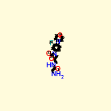 NCC(=O)NCC1CN(c2ccc(N3CCOCC3)c(F)c2)C(=O)O1